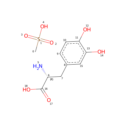 CS(=O)(=O)O.N[C@H](Cc1ccc(O)c(O)c1)C(=O)O